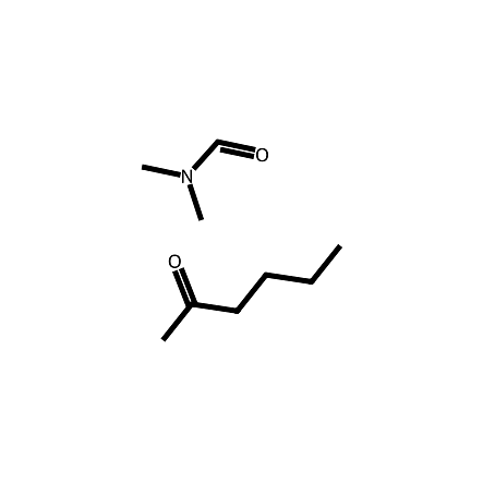 CCCCC(C)=O.CN(C)C=O